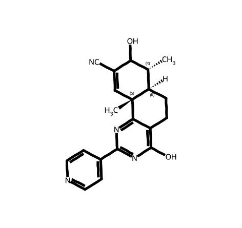 C[C@H]1C(O)C(C#N)=C[C@@]2(C)c3nc(-c4ccncc4)nc(O)c3CC[C@H]12